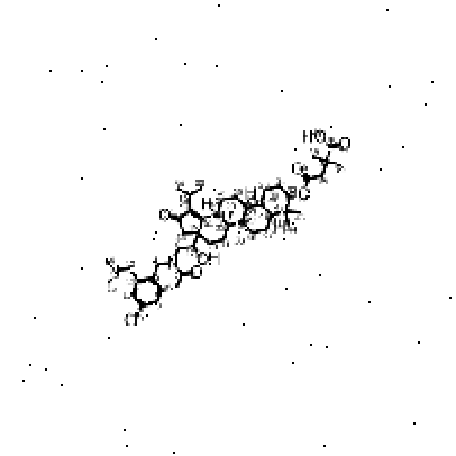 CC(=O)N(Cc1ccc(Cl)cc1CN(C)C)CC(O)C12CC[C@]3(C)[C@H](CC[C@@H]4[C@@]5(C)CC[C@H](OC(=O)CC(C)(C)C(=O)O)C(C)(C)[C@@H]5CC[C@]43C)C1=C(C(C)C)C(=O)C2